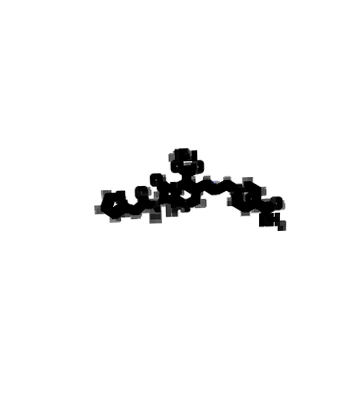 CC(C)(C)OC(=O)C1=C(/C=C/C[N+]23CCC(C(N)=O)(CC2)CC3)CS[C@H]2[C@H](NC(=O)Cc3cccs3)C(=O)N12